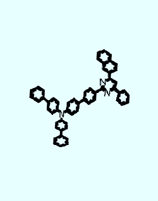 c1ccc(-c2ccc(N(c3ccc(-c4ccccc4)cc3)c3ccc(-c4ccc(-c5nc(-c6ccccc6)cc(-c6ccc7ccccc7c6)n5)cc4)cc3)cc2)cc1